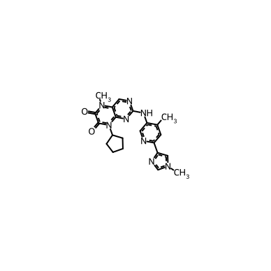 Cc1cc(-c2cn(C)cn2)ncc1Nc1ncc2c(n1)n(C1CCCC1)c(=O)c(=O)n2C